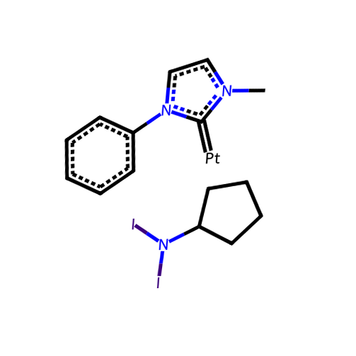 Cn1ccn(-c2ccccc2)[c]1=[Pt].IN(I)C1CCCC1